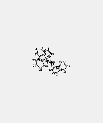 C1=Cc2ccccc2C(N=Nc2cccc3ccccc23)(c2ccccc2)C1